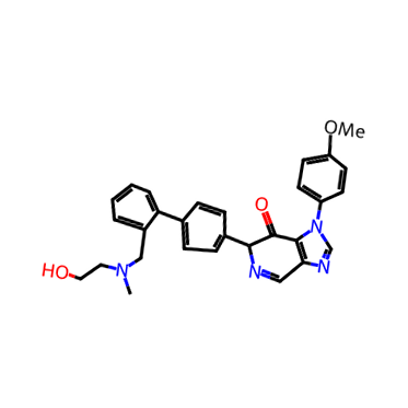 COc1ccc(-n2cnc3c2C(=O)C(c2ccc(-c4ccccc4CN(C)CCO)cc2)N=C3)cc1